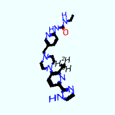 [2H]C([2H])([2H])c1nc(-c2ncc[nH]2)ccc1N1CCN(Cc2ccc(NC(=O)NCC)nc2)CC1